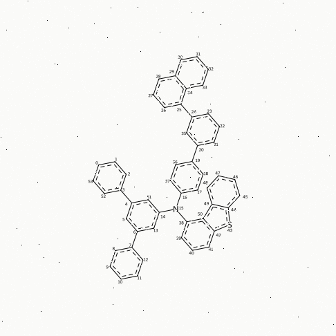 c1ccc(-c2cc(-c3ccccc3)cc(N(c3ccc(-c4cccc(-c5cccc6ccccc56)c4)cc3)c3cccc4sc5ccccc5c34)c2)cc1